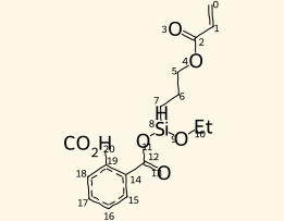 C=CC(=O)OCCC[SiH](OCC)OC(=O)c1ccccc1C(=O)O